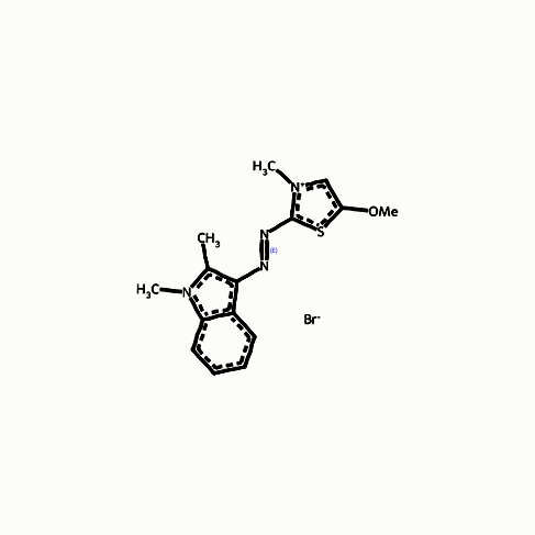 COc1c[n+](C)c(/N=N/c2c(C)n(C)c3ccccc23)s1.[Br-]